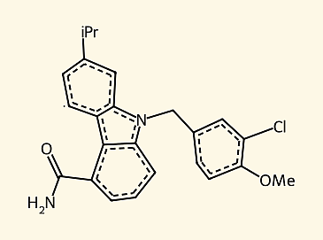 COc1ccc(Cn2c3cc(C(C)C)c[c]c3c3c(C(N)=O)cccc32)cc1Cl